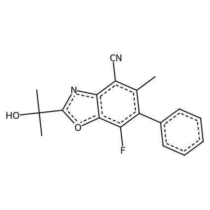 Cc1c(-c2ccccc2)c(F)c2oc(C(C)(C)O)nc2c1C#N